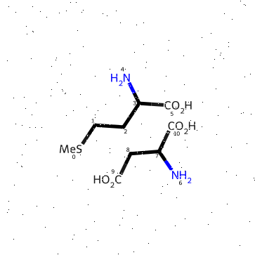 CSCCC(N)C(=O)O.NC(CC(=O)O)C(=O)O